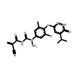 C=C(C#N)C(=O)NC(=O)N(N)c1cc(C)c(Oc2cc(C(C)C)c(=O)[nH]n2)c(Cl)c1